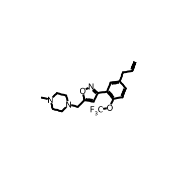 C=CCc1ccc(OC(F)(F)F)c(-c2cc(CN3CCN(C)CC3)on2)c1